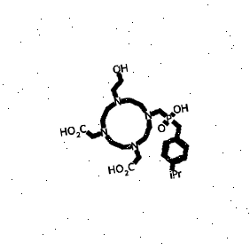 CC(C)c1ccc(CP(=O)(O)CN2CCN(CCO)CCN(CC(=O)O)CCN(CC(=O)O)CC2)cc1